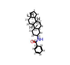 C[C@@]12CCC[C@H]1[C@@H]1CCC3CC(NC(=O)c4ccccc4)CC[C@]3(C)[C@@H]1CC2